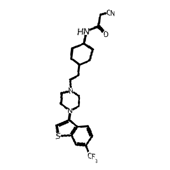 N#CCC(=O)NC1CCC(CCN2CCN(c3csc4cc(C(F)(F)F)ccc34)CC2)CC1